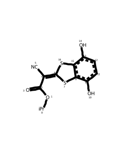 CC(C)OC(=O)C(C#N)=C1Sc2c(O)ccc(O)c2S1